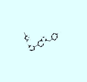 Cc1cc(Nc2nccc(-c3ccn4c(Cc5ccc(C(F)(F)F)cc5)nnc4c3)n2)[nH]n1